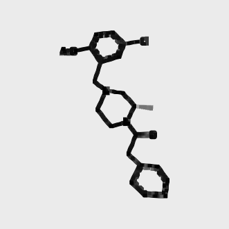 CC(=O)Oc1ccc(Cl)cc1CN1CCN(C(=O)Cc2ccccc2)[C@@H](C)C1